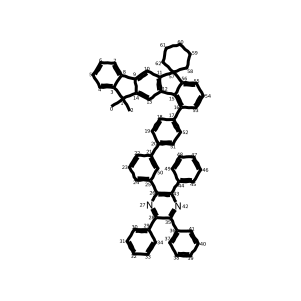 CC1(C)c2ccccc2-c2cc3c(cc21)-c1c(-c2ccc(-c4cccc(-c5nc(-c6ccccc6)c(-c6ccccc6)nc5-c5ccccc5)c4)cc2)cccc1C31CCCCC1